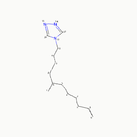 CCCCCCC(C)CCCCn1cnnc1